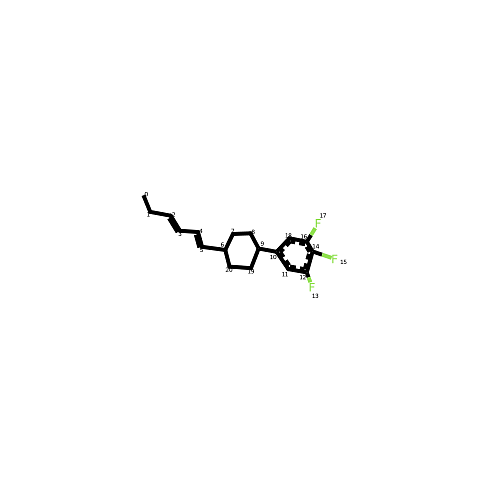 CC/C=C/C=C/C1CCC(c2cc(F)c(F)c(F)c2)CC1